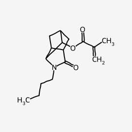 C=C(C)C(=O)OC1C2CC3C(=O)N(CCCC)C1C3C2